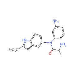 CCOC(=O)c1cc2cc(N(C(=O)C(C)N)c3cccc(N)c3)ccc2[nH]1